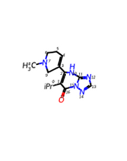 CC(C)c1c(C2=CCCN(C)C2)[nH]c2ncnn2c1=O